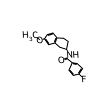 COc1ccc2c(c1)CC(NC(=O)c1ccc(F)cc1)CC2